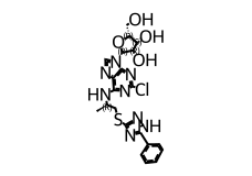 C[C@H](CSc1n[nH]c(-c2ccccc2)n1)Nc1nc(Cl)nc2c1ncn2[C@@H]1O[C@H](CO)[C@@H](O)[C@H]1O